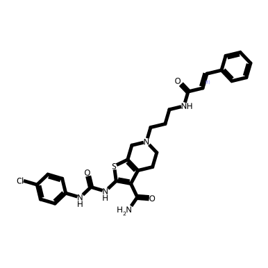 NC(=O)c1c(NC(=O)Nc2ccc(Cl)cc2)sc2c1CCN(CCCNC(=O)/C=C/c1ccccc1)C2